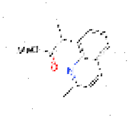 COC(=O)C(C)c1cccc2ccc(C)nc12